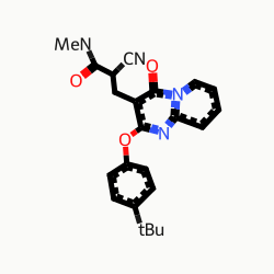 CNC(=O)C(C#N)Cc1c(Oc2ccc(C(C)(C)C)cc2)nc2ccccn2c1=O